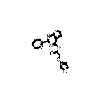 O=C(COn1ccnc1)Nc1nc(-c2ccccn2)nc2sccc12